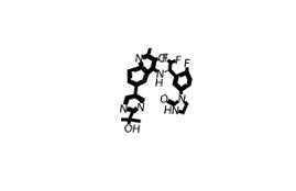 Cc1nc2ccc(-c3cnc(C(C)(C)O)nc3)cc2c(N[C@@H](c2cc(N3CCNC3=O)ccc2F)C(F)F)c1Cl